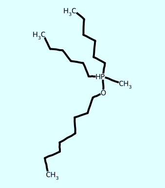 CCCCCCCCO[PH](C)(CCCCCC)CCCCCC